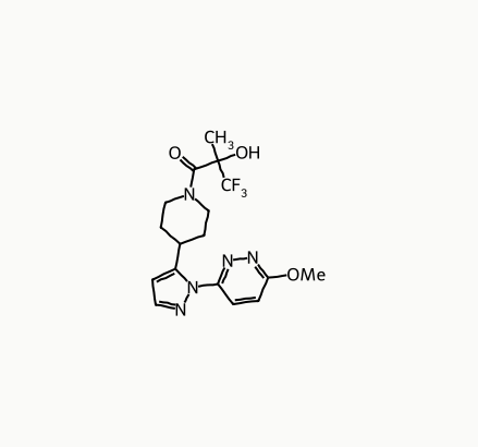 COc1ccc(-n2nccc2C2CCN(C(=O)C(C)(O)C(F)(F)F)CC2)nn1